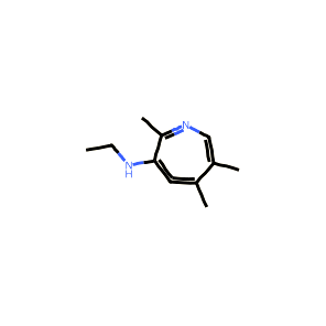 CCNC1=C=C(C)C(C)=CN=C1C